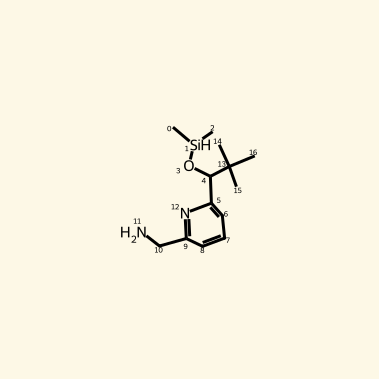 C[SiH](C)OC(c1cccc(CN)n1)C(C)(C)C